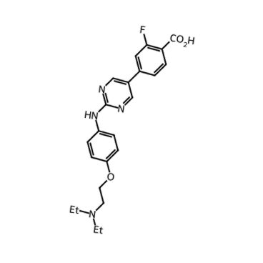 CCN(CC)CCOc1ccc(Nc2ncc(-c3ccc(C(=O)O)c(F)c3)cn2)cc1